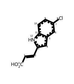 O=C(O)C=Cc1cc2cc(Cl)ccc2[nH]1